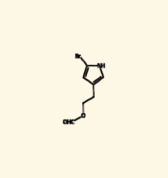 O=COCCc1c[nH]c(Br)c1